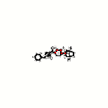 O=C(NC1CCC(S(=O)(=O)N2[C@@H]3CC[C@H]2CC(NC(=O)c2cc(C4COC4)on2)C3)CC1)OCc1ccccc1